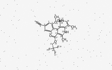 COc1cc(C#N)ccc1C1C(C(=O)OCC(F)(F)F)=C(C)Nc2c(C)c[nH]c(=O)c21